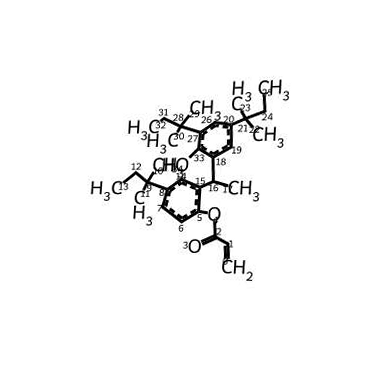 C=CC(=O)Oc1ccc(C(C)(C)CC)cc1C(C)c1cc(C(C)(C)CC)cc(C(C)(C)CC)c1O